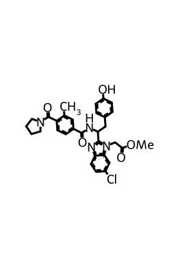 COC(=O)Cn1c(C(Cc2ccc(O)cc2)NC(=O)c2ccc(C(=O)N3CCCC3)c(C)c2)nc2ccc(Cl)cc21